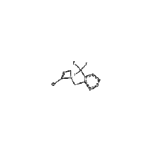 FC(F)(F)c1ccccc1CN1CC=C1Cl